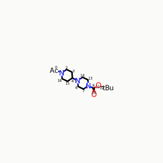 CC(=O)N1CCC(N2CCN(C(=O)OC(C)(C)C)CC2)CC1